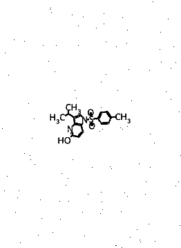 Cc1ccc(S(=O)(=O)n2cc(C(C)C)c3nc(O)ccc32)cc1